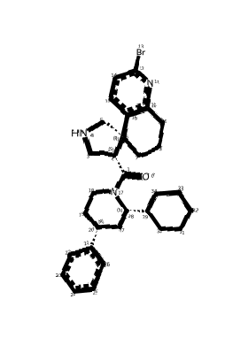 O=C([C@@H]1CNC[C@]12CCCc1nc(Br)ccc12)N1CC[C@@H](c2ccccc2)C[C@H]1C1CCCCC1